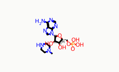 CN1CCNCC1.Nc1ncnc2c1ncn2[C@@H]1O[C@H](COP(=O)(O)O)[C@@H](O)[C@H]1O